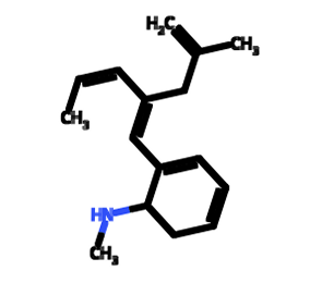 C=C(C)CC(/C=C\C)=C\C1=CC=CCC1NC